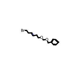 BrCC/C=C/CCOCOCc1ccccc1